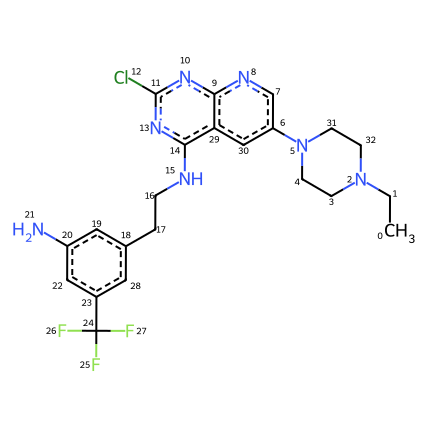 CCN1CCN(c2cnc3nc(Cl)nc(NCCc4cc(N)cc(C(F)(F)F)c4)c3c2)CC1